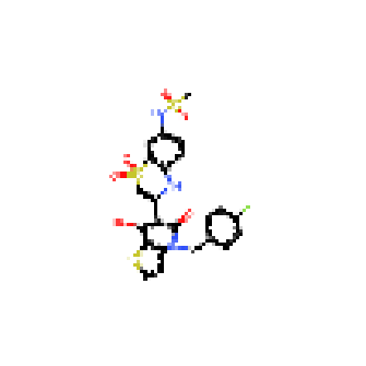 CS(=O)(=O)Nc1ccc2c(c1)S(=O)(=O)C=C(c1c(O)c3sccc3n(Cc3ccc(F)cc3)c1=O)N2